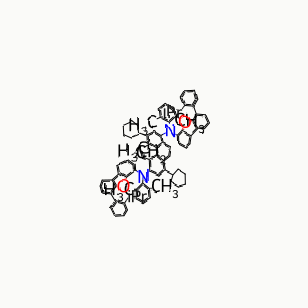 C=Cc1c(N(c2c(C)cccc2C)c2cccc3c2oc2c(-c4ccccc4C(C)C)cccc23)cc(C2CCCCC2)c2ccc3c(N(c4c(C)cccc4C)c4cccc5c4oc4c(-c6ccccc6C(C)C)cccc45)cc(C4CCCCC4)c(C)c3c12